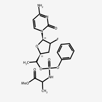 COC(=O)C(C)NP(=O)(Oc1ccccc1)OC(C)[C@@H]1CC(F)[C@H](n2ccc(N)nc2=O)O1